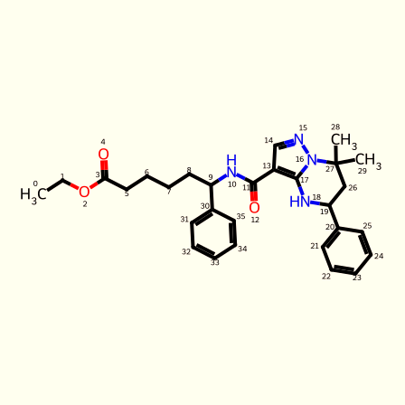 CCOC(=O)CCCCC(NC(=O)c1cnn2c1NC(c1ccccc1)CC2(C)C)c1ccccc1